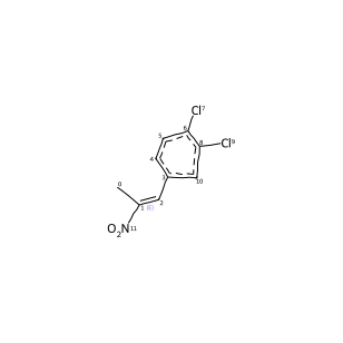 C/C(=C\c1ccc(Cl)c(Cl)c1)[N+](=O)[O-]